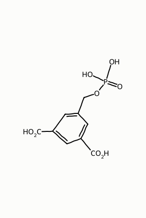 O=C(O)c1cc(COP(=O)(O)O)cc(C(=O)O)c1